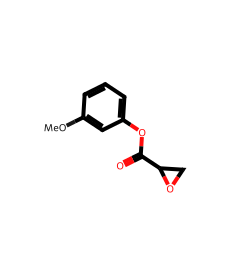 COc1cccc(OC(=O)C2CO2)c1